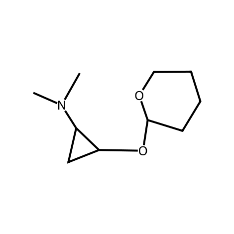 CN(C)C1CC1OC1CCCCO1